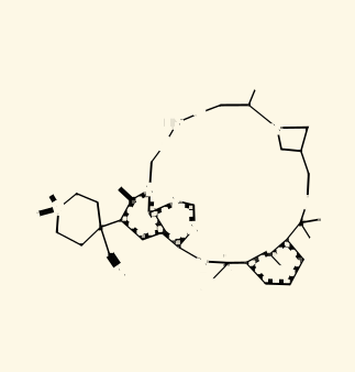 CC1CCNCCn2c(=O)c(C3(C#N)CCS(=O)(=O)CC3)cc3c(ncnc32)N[C@H](C)c2cccc(c2F)C(F)(F)CCC2CN1C2